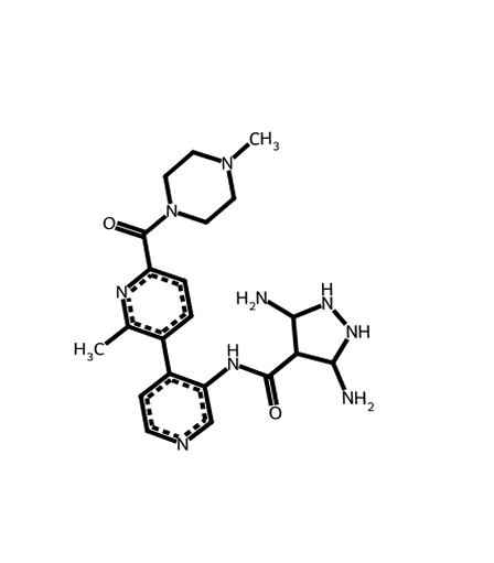 Cc1nc(C(=O)N2CCN(C)CC2)ccc1-c1ccncc1NC(=O)C1C(N)NNC1N